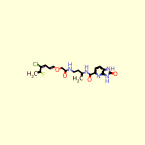 C=C(CCNC(=O)CO/C=C/C=C(/Cl)C(=C)F)NC(=O)c1ccc2[nH]c(=O)[nH]c2n1